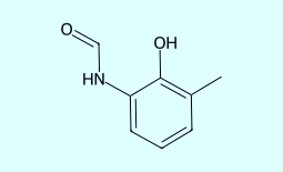 Cc1cccc(NC=O)c1O